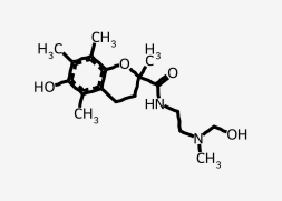 Cc1c(C)c2c(c(C)c1O)CCC(C)(C(=O)NCCN(C)CO)O2